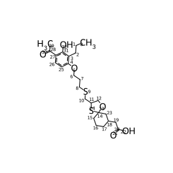 CCCc1c(OCCCSCC2COC3(CCCC(CC(=O)O)C3)S2)ccc(C(C)=O)c1O